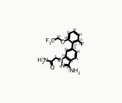 NC(=O)Cn1nc(N)c2ccc(-c3c(F)cccc3OCC(F)(F)F)cc21